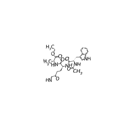 CCOC(=O)[C@H](C)NC(=O)[C@H](CCC(=O)C=N)NC(=O)[C@H](Cc1c[nH]c2ccccc12)NC(C)=O